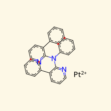 [Pt+2].c1ccc(-c2cccnc2N(c2ccccc2)c2ncccc2-c2ccccc2)cc1